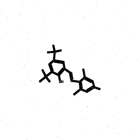 Cc1cc(C)c(N=Cc2cc(C(C)(C)C)cc(C(C)(C)C)c2O)c(C)c1